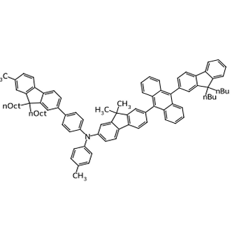 CCCCCCCCC1(CCCCCCCC)c2cc(C)ccc2-c2ccc(-c3ccc(N(c4ccc(C)cc4)c4ccc5c(c4)C(C)(C)c4cc(-c6c7ccccc7c(-c7ccc8c(c7)C(CCCC)(CCCC)c7ccccc7-8)c7ccccc67)ccc4-5)cc3)cc21